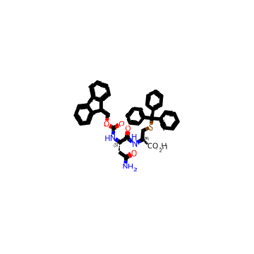 NC(=O)C[C@H](NC(=O)OCC1c2ccccc2-c2ccccc21)C(=O)N[C@@H](CSC(c1ccccc1)(c1ccccc1)c1ccccc1)C(=O)O